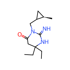 CCC1(CC)CC(=O)N(CC2C[C@H]2C)C(=N)N1